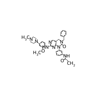 C=CC(=O)Nc1cccc(N2C(=O)N(Cc3ccccc3)Cc3cnc(Nc4ccc(N5CCN(C)CC5)cc4OC)nc32)c1